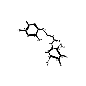 CCN(CCOc1cc(C)c(Cl)cc1C(C)C)Cc1c(C)c(O)c(C)c(C)c1OC